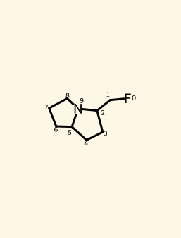 FCC1CCC2CCCN12